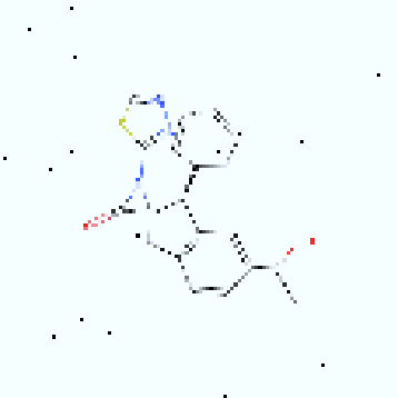 CC(O)c1ccc2c(c1)[C@H](c1ccccc1)[C@@]1(C2)C(=O)N1c1nncs1